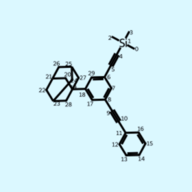 C[Si](C)(C)C#Cc1cc(C#Cc2ccccc2)cc(C23CC4CC(CC(C4)C2)C3)c1